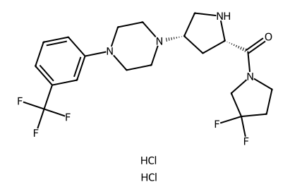 Cl.Cl.O=C([C@@H]1C[C@H](N2CCN(c3cccc(C(F)(F)F)c3)CC2)CN1)N1CCC(F)(F)C1